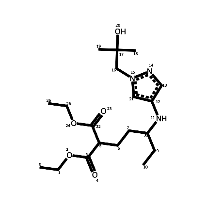 CCOC(=O)C(CCC(CC)Nc1cnn(CC(C)(C)O)c1)C(=O)OCC